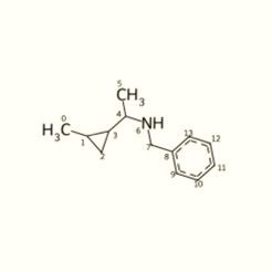 CC1CC1C(C)NCc1ccccc1